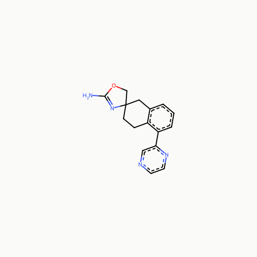 NC1=NC2(CCc3c(cccc3-c3cnccn3)C2)CO1